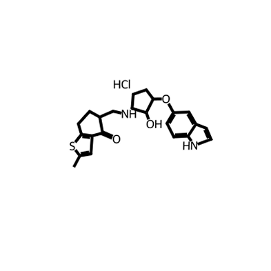 Cc1cc2c(s1)CCC(CNC1CCC(Oc3ccc4[nH]ccc4c3)C1O)C2=O.Cl